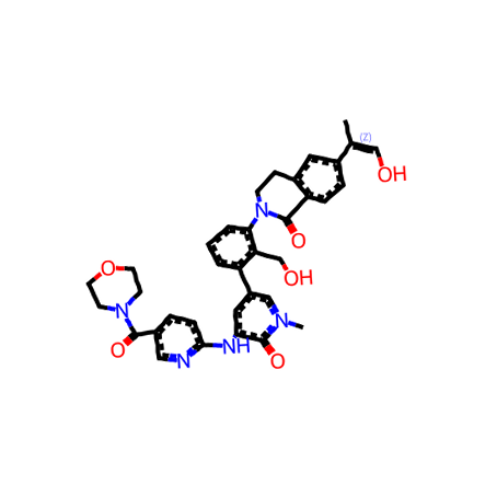 C/C(=C/O)c1ccc2c(c1)CCN(c1cccc(-c3cc(Nc4ccc(C(=O)N5CCOCC5)cn4)c(=O)n(C)c3)c1CO)C2=O